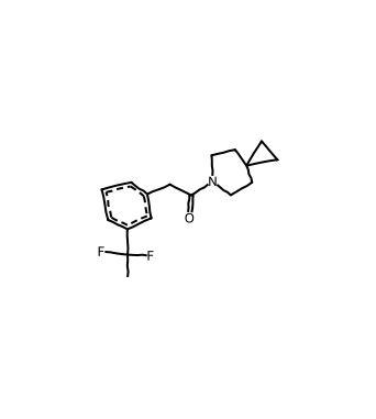 CC(F)(F)c1cccc(CC(=O)N2CCC3(CC2)CC3)c1